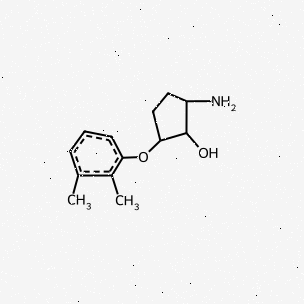 Cc1cccc(OC2CCC(N)C2O)c1C